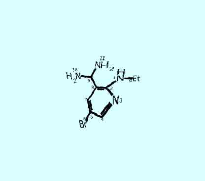 CCNc1ncc(Br)cc1C(N)N